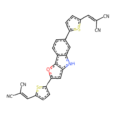 N#CC(C#N)=Cc1ccc(-c2ccc3c(c2)[nH]c2cc(-c4ccc(C=C(C#N)C#N)s4)oc23)s1